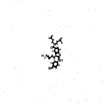 CC(C)CCN(CCC(C)C)C(=O)c1ccc2nc(Nc3ccc(Br)cc3)n(CCCN)c2c1